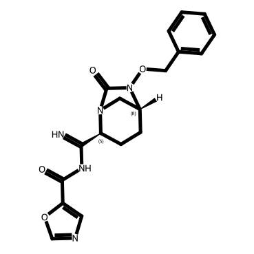 N=C(NC(=O)c1cnco1)[C@@H]1CC[C@@H]2CN1C(=O)N2OCc1ccccc1